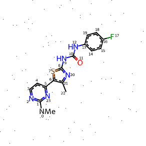 CNc1nccc(-c2sc(NC(=O)Nc3ccc(F)cc3)nc2C)n1